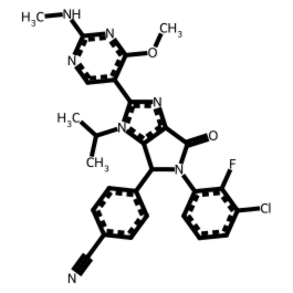 CNc1ncc(-c2nc3c(n2C(C)C)C(c2ccc(C#N)cc2)N(c2cccc(Cl)c2F)C3=O)c(OC)n1